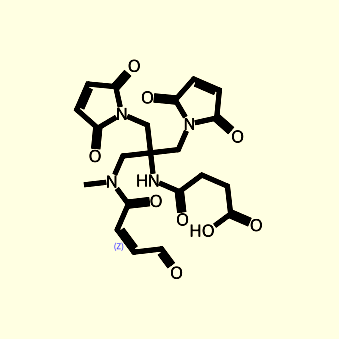 CN(CC(CN1C(=O)C=CC1=O)(CN1C(=O)C=CC1=O)NC(=O)CCC(=O)O)C(=O)/C=C\C=O